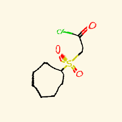 O=C(Cl)CS(=O)(=O)C1CCCCCC1